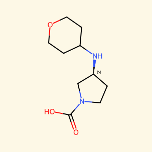 O=C(O)N1CC[C@H](NC2CCOCC2)C1